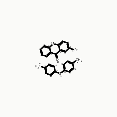 CC(C)c1ccc2sc3ccccc3c(=O)c2c1.Cc1ccc(Sc2ccc(C)cc2)cc1